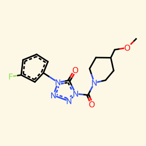 COCC1CCN(C(=O)n2nnn(-c3cccc(F)c3)c2=O)CC1